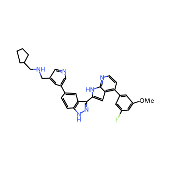 COc1cc(F)cc(-c2ccnc3[nH]c(-c4n[nH]c5ccc(-c6cncc(CNCC7CCCC7)c6)cc45)cc23)c1